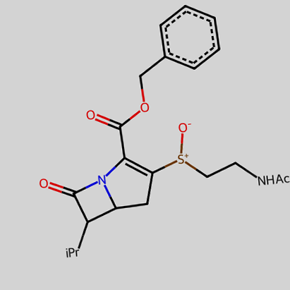 CC(=O)NCC[S+]([O-])C1=C(C(=O)OCc2ccccc2)N2C(=O)C(C(C)C)C2C1